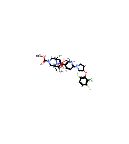 CC(C)(C)OC(=O)N1C[C@@H]2C=C(c3ccc(N4CC[C@@H](Oc5c(F)ccc(F)c5Cl)C4)nc3)C(C(=O)O)[C@H](C1)N2C(=O)OC(C)(C)C